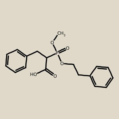 COP(=O)(OCCc1ccccc1)C(Cc1ccccc1)C(=O)O